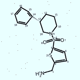 NCc1ccc(S(=O)(=O)N2C[CH]C[C@@H](c3ccccc3)C2)s1